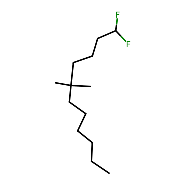 CCCCCCC(C)(C)CCCC(F)F